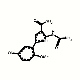 COc1ccc(N=O)cc1-c1cc(C(N)=O)c(NC(N)=O)[nH]1